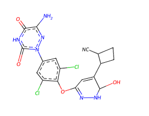 N#CC1CCC1C1=CC(Oc2c(Cl)cc(-n3nc(N)c(=O)[nH]c3=O)cc2Cl)=NNC1O